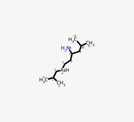 CC(C)C[AsH]CCC(N)CC(C)C